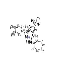 O=C(/N=C(\Nc1cc(C(F)(F)F)[nH]n1)NC1CCCCCC1)c1ccc(F)c(F)c1